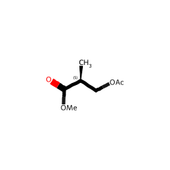 COC(=O)[C@@H](C)COC(C)=O